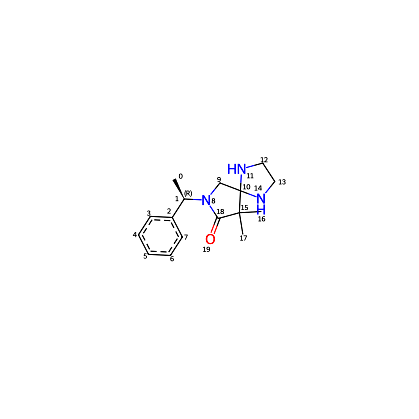 C[C@H](c1ccccc1)N1CC2(NCCN2)C(C)(C)C1=O